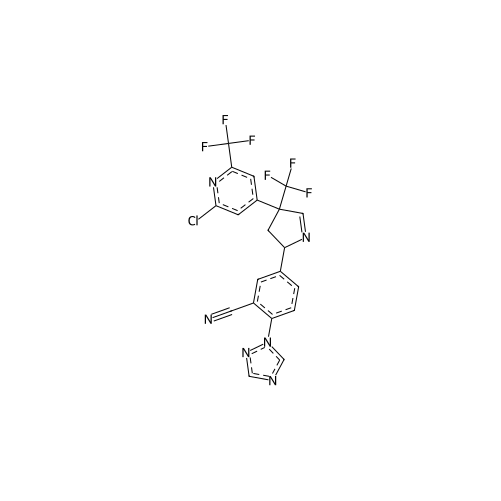 N#Cc1cc(C2CC(c3cc(Cl)nc(C(F)(F)F)c3)(C(F)(F)F)C=N2)ccc1-n1cncn1